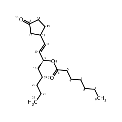 CCCCCCC(=O)O[C@H](C=CC1CCC(=O)C1)CCCCC